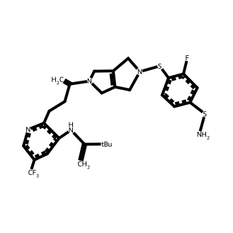 C=C(CCc1ncc(C(F)(F)F)cc1NC(=C)C(C)(C)C)N1CC2=C(CN(Sc3ccc(SN)cc3F)C2)C1